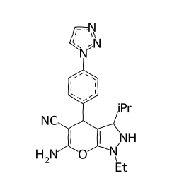 CCN1NC(C(C)C)C2=C1OC(N)=C(C#N)C2c1ccc(-n2ccnn2)cc1